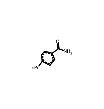 CCCc1ccc(C(N)=O)cc1